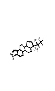 C[C@]12CCC3c4ccc5[nH]ncc5c4CCC3C1CC[C@@]2(O)C(F)(F)C(F)(F)F